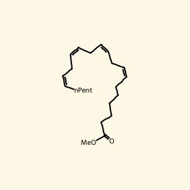 CCCCC/C=C\C/C=C\C/C=C\C/C=C\CCCCCC(=O)OC